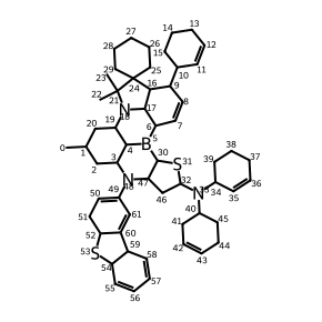 CC1CC2C3B(C4C=CC(C5C=CCCC5)C5C4N(C3C1)C(C)(C)C51CCCCC1)C1SC(N(C3C=CCCC3)C3CC=CCC3)CC1N2C1=CCC2SC3C=CC=CC3C2=C1